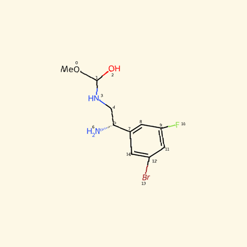 COC(O)NC[C@@H](N)c1cc(F)cc(Br)c1